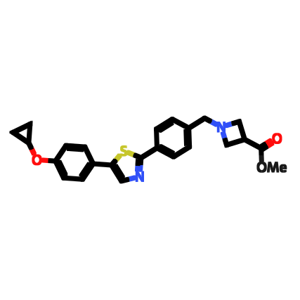 COC(=O)C1CN(Cc2ccc(-c3ncc(-c4ccc(OC5CC5)cc4)s3)cc2)C1